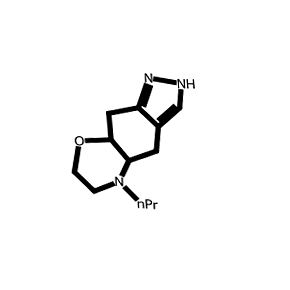 CCCN1CCOC2Cc3n[nH]cc3CC21